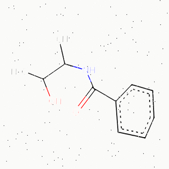 CC(O)C(C)NC(=O)c1ccccc1